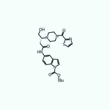 CC(C)(C)OC(=O)n1ccc2cc(NC(=O)C[C@H](CO)N3CCN(C(=O)c4nccs4)CC3)ccc21